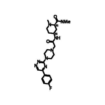 CNC(=O)[C@H]1C[C@@H](NC(=O)CN2CCN(c3nncc(-c4ccc(F)cc4)n3)CC2)CCN1C